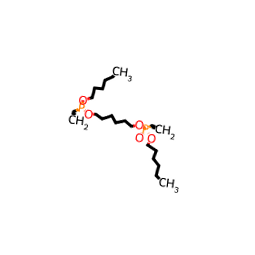 C=CP(OCCCCCC)OCCCCCCOP(=O)(C=C)OCCCCCC